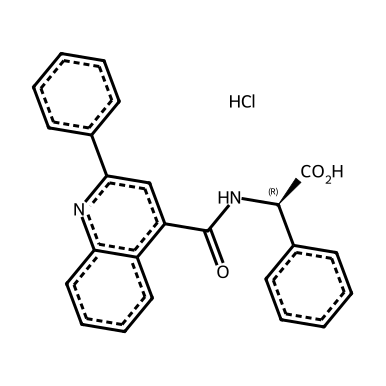 Cl.O=C(N[C@@H](C(=O)O)c1ccccc1)c1cc(-c2ccccc2)nc2ccccc12